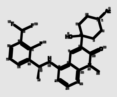 CC(=O)N1CCC(O)(c2cc3c(N[C@H](C)c4cccc(C(F)F)c4F)ccnc3n(C)c2=O)CC1